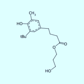 Cc1cc(CCCC(=O)OCCCO)cc(C(C)(C)C)c1O